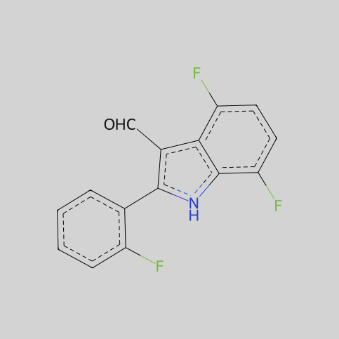 O=Cc1c(-c2ccccc2F)[nH]c2c(F)ccc(F)c12